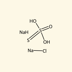 O=S(O)(O)=S.[NaH].[Na][Cl]